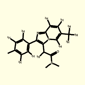 [2H]c1c([2H])c(-c2nc3c([2H])c([2H])c(C([2H])([2H])[2H])c([2H])n3c2C([2H])C(=O)N(C)C)c([2H])c([2H])c1C